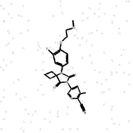 COCCOc1ccc(N2C(=S)N(c3cnc(C#N)c(C)c3)C(=O)C23CCC3)cc1F